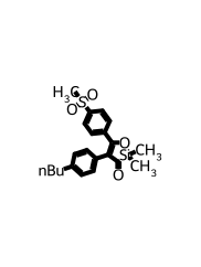 CCCCc1ccc(C2=C(c3ccc(S(C)(=O)=O)cc3)O[Si](C)(C)C2=O)cc1